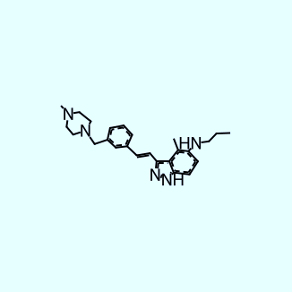 CCCNc1ccc2[nH]nc(C=Cc3cccc(CN4CCN(C)CC4)c3)c2c1C